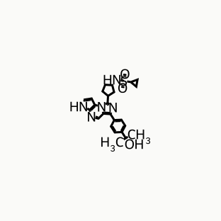 CC(C)(O)c1ccc(-c2nc(C3CC[C@H](NS(=O)(=O)C4CC4)C3)n3c2cnc2[nH]ccc23)cc1